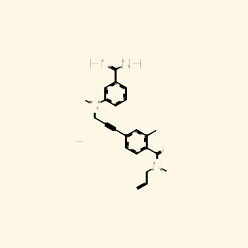 C=CCN(C)C(=O)c1ccc(C#CCN(C)c2cccc(C(=N)N)c2)cc1C.Cl